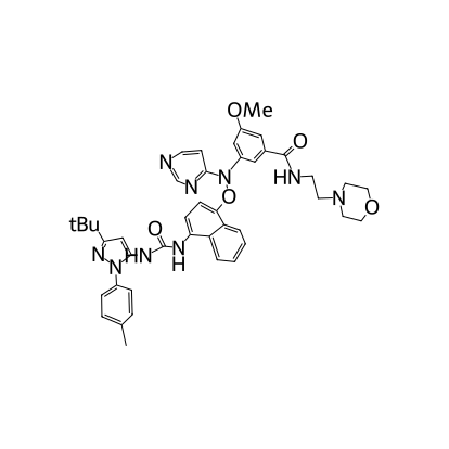 COc1cc(C(=O)NCCN2CCOCC2)cc(N(Oc2ccc(NC(=O)Nc3cc(C(C)(C)C)nn3-c3ccc(C)cc3)c3ccccc23)c2ccncn2)c1